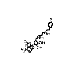 Nc1nc(Cl)nc2c1c(Br)cn2[C@@H]1CC(CNCCCNCCc2ccc(F)cc2)[C@@H](O)[C@H]1O